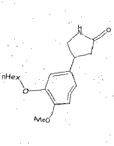 CCCCCCOc1cc(C2CNC(=O)C2)ccc1OC